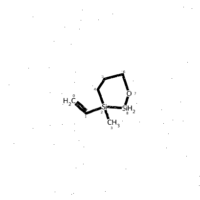 C=C[Si]1(C)CCCO[SiH2]1